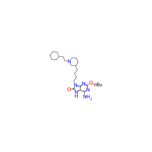 CCCCOc1nc(N)c2[nH]c(=O)n(CCCCC3CCCN(CCC4CCCCC4)C3)c2n1